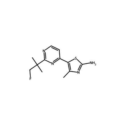 Cc1nc(N)sc1-c1ccnc(C(C)(C)CF)n1